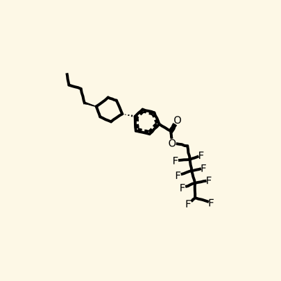 CCCC[C@H]1CC[C@H](c2ccc(C(=O)OCC(F)(F)C(F)(F)C(F)(F)C(F)F)cc2)CC1